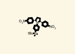 CC(C)(C)[Si](C)(C)c1ccc(N2[C@H](c3ccc([N+](=O)[O-])cc3)CC[C@H]2c2ccc([N+](=O)[O-])cc2)cc1